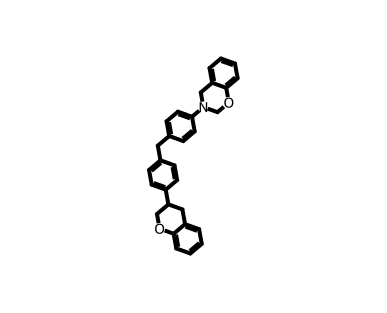 c1ccc2c(c1)CC(c1ccc(Cc3ccc(N4COc5ccccc5C4)cc3)cc1)CO2